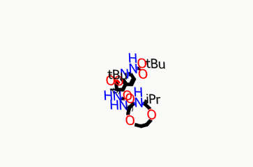 CC(C)C1COCCCCOC[C@@H](NC(=O)N[C@@](C)(Cc2ccc(NC(=O)OC(C)(C)C)nc2)C(=O)OC(C)(C)C)C(=O)N1